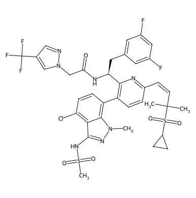 Cn1nc(NS(C)(=O)=O)c2c(Cl)ccc(-c3ccc(/C=C\C(C)(C)S(=O)(=O)C4CC4)nc3[C@H](Cc3cc(F)cc(F)c3)NC(=O)Cn3cc(C(F)(F)F)cn3)c21